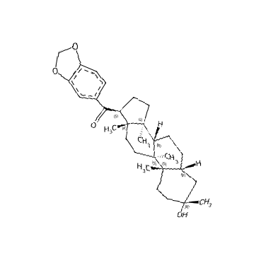 C[C@@]1(O)CC[C@@]2(C)[C@H](CC[C@@H]3[C@]2(C)CC[C@]2(C)[C@@H](C(=O)c4ccc5c(c4)OCO5)CC[C@@]32C)C1